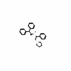 CN(C(=O)C(c1ccccc1)c1ccccc1)C(CN1C[CH]CC1)c1ccccc1